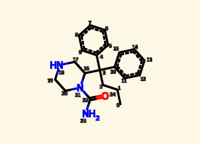 CCCC(c1ccccc1)(c1ccccc1)C1CNCCN1C(N)=O